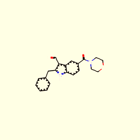 O=Cc1c(Cc2ccccc2)[nH]c2ccc(C(=O)N3CCOCC3)cc12